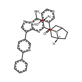 CC(=O)c1c(C2CC3CC[C@H](C2)N3C(=O)c2cnccc2O)nc2c(-c3ccc(-c4ccccc4)nc3)cnn2c1N